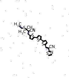 C/C=C\SC(C)(C)/C(C#N)=C/c1ccc(-c2ccc(-c3ccc(/C=C(\C#N)c4nccs4)s3)s2)s1